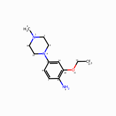 CN1CCN(c2ccc(N)c(OCC(F)(F)F)c2)CC1